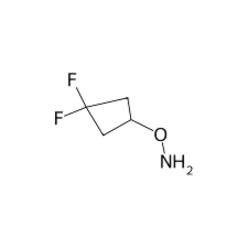 NOC1CC(F)(F)C1